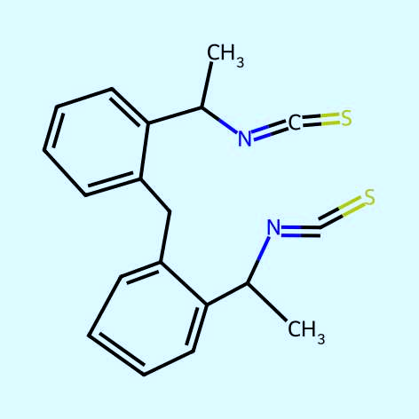 CC(N=C=S)c1ccccc1Cc1ccccc1C(C)N=C=S